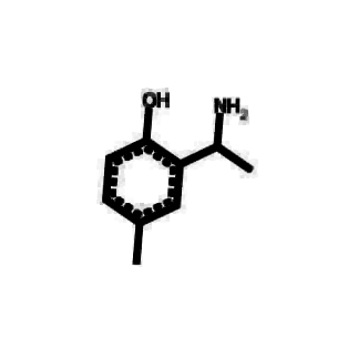 Cc1ccc(O)c(C(C)N)c1